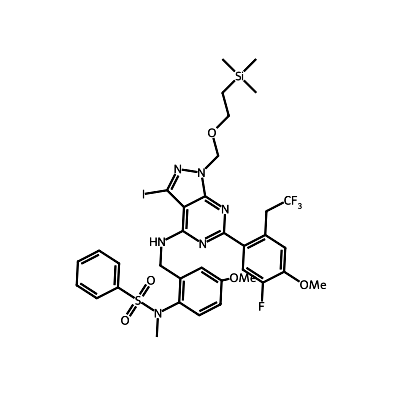 COc1ccc(N(C)S(=O)(=O)c2ccccc2)c(CNc2nc(-c3cc(F)c(OC)cc3CC(F)(F)F)nc3c2c(I)nn3COCC[Si](C)(C)C)c1